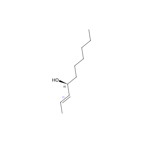 C/C=C/[C@@H](O)CCCCCC